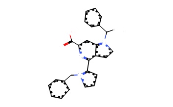 CC(c1ccccc1)n1ccc2c(-c3cccn3Cc3ccccc3)nc(C(=O)O)cc21